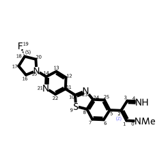 CN/C=C(\C=N)c1ccc2sc(-c3ccc(N4CC[C@H](F)C4)nc3)nc2c1